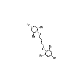 Brc1cc(Br)c(OCCCCOc2c(Br)cc(Br)cc2Br)c(Br)c1